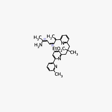 C=C(/C=C\C=C(\C)N)c1cccc(CC(C)(Cc2cccc(-c3cccc(C)n3)n2)C(=O)OCC)n1